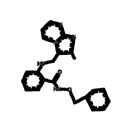 Cc1nc2ncccn2c1CNc1ccccc1C(=O)NOCc1ccccc1